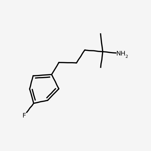 CC(C)(N)CCCc1ccc(F)cc1